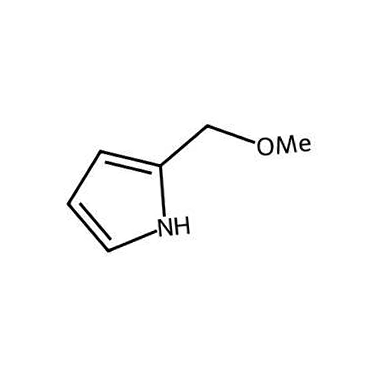 [CH2]OCc1ccc[nH]1